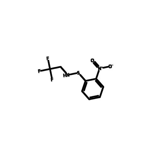 O=[N+]([O-])c1ccccc1SNCC(F)(F)F